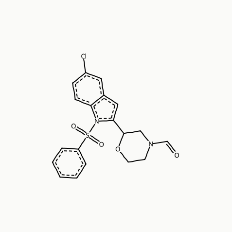 O=CN1CCOC(c2cc3cc(Cl)ccc3n2S(=O)(=O)c2ccccc2)C1